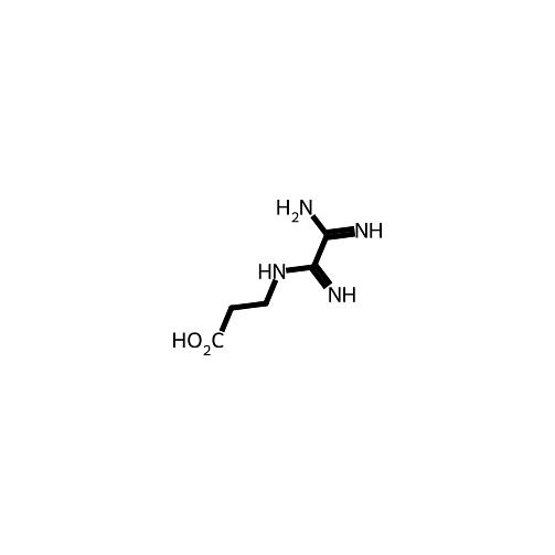 N=C(N)C(=N)NCCC(=O)O